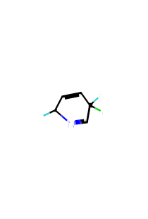 FC1C=CC(F)(Cl)C=N1